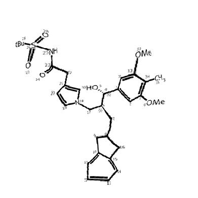 COc1cc([C@@H](O)[C@@H](CC2Cc3ccccc3C2)Cn2ccc(CC(=O)NS(=O)(=O)C(C)(C)C)c2)cc(OC)c1C